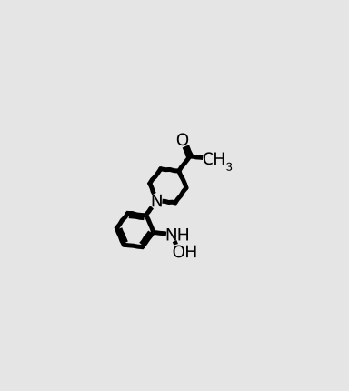 CC(=O)C1CCN(c2ccccc2NO)CC1